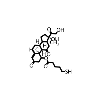 C[C@]12CC(=O)[C@H]3[C@@H](CCC4=CC(=O)CC(OC(=O)CCCCS)[C@@]43C)[C@@H]1CC[C@]2(O)C(=O)CO